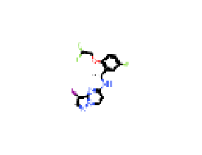 C[C@@H](Nc1ccn2ncc(I)c2n1)c1cc(F)ccc1OCC(F)F